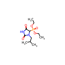 CCOP(=O)(OCC)C1C(=O)NC(=O)N1CC(C)C